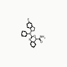 NC(=O)C1OC(N(c2ccccc2)C2CCc3cc(F)ccc32)=Nc2cc[c]cc21